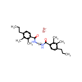 CCCc1ccc(C(=O)[NH][Ti+2][NH]C(=O)c2ccc(CCC)c(C)c2C)c(C)c1C.[Br-].[Br-]